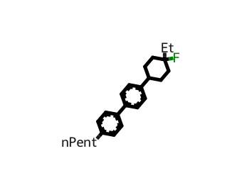 CCCCCc1ccc(-c2ccc(C3CCC(F)(CC)CC3)cc2)cc1